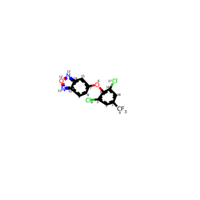 FC(F)(F)c1cc(Cl)c(Oc2ccc3nonc3c2)c(Cl)c1